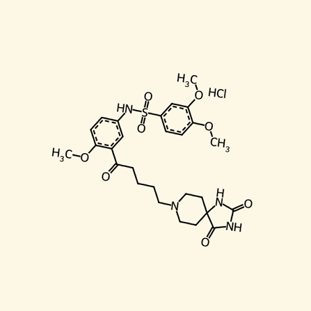 COc1ccc(S(=O)(=O)Nc2ccc(OC)c(C(=O)CCCCN3CCC4(CC3)NC(=O)NC4=O)c2)cc1OC.Cl